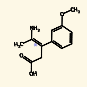 COc1cccc(/C(CC(=O)O)=C(/C)N)c1